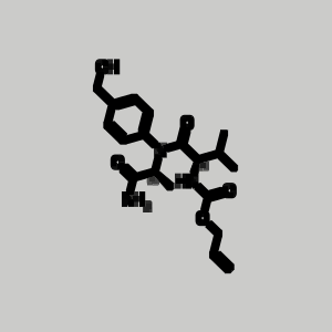 C=CCOC(=O)N[C@@H](C(=O)N(c1ccc(CO)cc1)[C@@H](C)C(N)=O)C(C)C